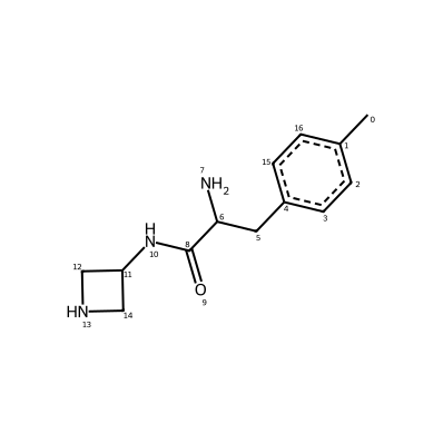 Cc1ccc(CC(N)C(=O)NC2CNC2)cc1